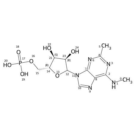 CNc1nc(C)nc2c1ncn2C1O[C@H](COP(=O)(O)O)[C@@H](O)[C@H]1O